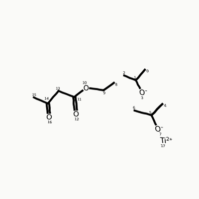 CC(C)[O-].CC(C)[O-].CCOC(=O)CC(C)=O.[Ti+2]